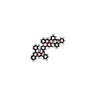 Cc1cc(-c2ccc(N(c3c(C)cccc3-c3ccc4ccccc4c3)c3cccc4c3oc3ccccc34)c(C)c2)ccc1N(c1c(C)cccc1-c1ccc2ccccc2c1)c1cccc2c1oc1ccccc12